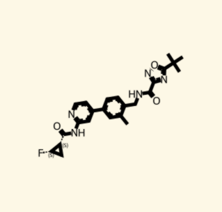 Cc1cc(-c2ccnc(NC(=O)[C@@H]3C[C@@H]3F)c2)ccc1CNC(=O)c1noc(C(C)(C)C)n1